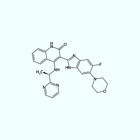 C[C@@H](Nc1c(-c2nc3cc(F)c(N4CCOCC4)cc3[nH]2)c(=O)[nH]c2ccccc12)c1ncccn1